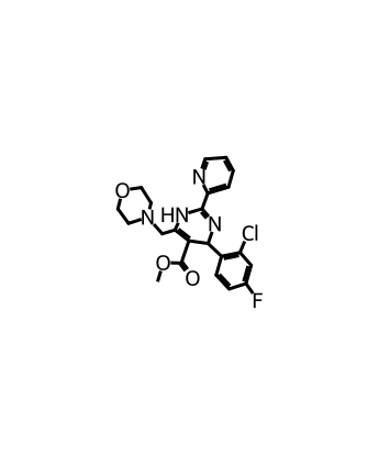 COC(=O)C1=C(CN2CCOCC2)NC(c2ccccn2)=NC1c1ccc(F)cc1Cl